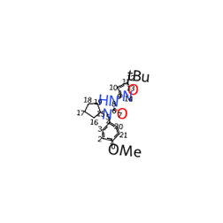 COc1ccc(N(C(=O)Nc2cc(C(C)(C)C)on2)C2CCCC2)cc1